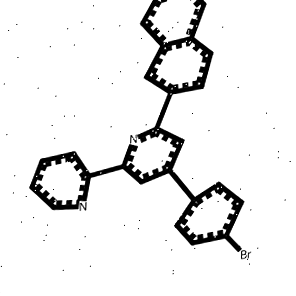 Brc1ccc(-c2cc(-c3ccc4ccccc4c3)nc(-c3ccccn3)c2)cc1